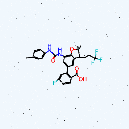 Cc1ccc(NC(=O)Nc2cc(-c3cc(F)ccc3C(=O)O)cc3c2O[C@@H](C)C3CCC(F)(F)F)cc1